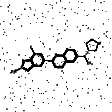 CN(c1cnc2nc(-c3cc(F)c4nn(C)cc4c3)ccc2c1)[C@@H]1CCNC1